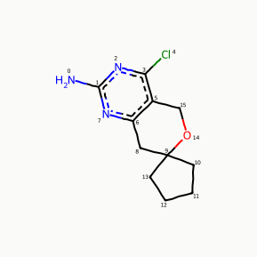 Nc1nc(Cl)c2c(n1)CC1(CCCC1)OC2